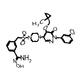 CC1(COc2c(N3CCN(S(=O)(=O)Cc4cccc(/C(N)=N/O)c4)CC3)cnn(-c3cccc(Cl)c3)c2=O)CC1